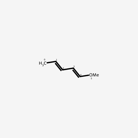 C/C=C/C=C/OC